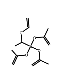 C=COC(C)[Si](OC(=C)C)(OC(=C)C)OC(=C)C